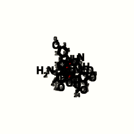 COc1ccc2[nH]c3c(c2c1)C[C@@H](CN)N[C@]31CS[C@@H]2c3c(OC(C)=O)c(C)c4c(c3[C@H](COC1=O)N1[C@@H]2[C@H]2c3c(cc(C)c(OC)c3O)C3(C)CC1(C#N)CN23)OCO4